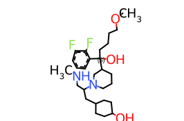 CNCC(CC1CCC(O)CC1)N1CCCC([C@@](O)(CCCCOC)c2cccc(F)c2F)C1